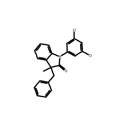 CC1(Cc2ccccc2)C(=O)N(c2cc(Cl)cc(Cl)c2)c2ccccc21